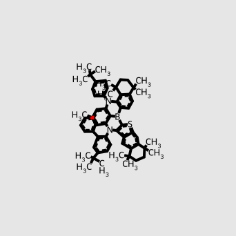 Cc1cc2c3c(c1)N(c1ccc(C(C)(C)C)cc1-c1ccccc1)c1c(sc4cc5c(cc14)C(C)(C)CCC5(C)C)B3c1ccc3c(c1N2c1ccc(C(C)(C)C)cc1)C(C)(C)CCC3(C)C